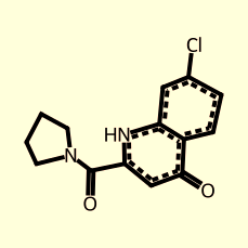 O=C(c1cc(=O)c2ccc(Cl)cc2[nH]1)N1CCCC1